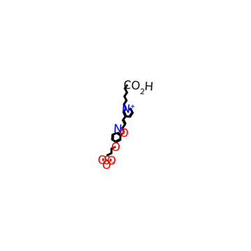 O=C(O)CCCCC[n+]1cccc(/C=C/c2nc3ccc(OCCCS(=O)(=O)[O-])cc3o2)c1